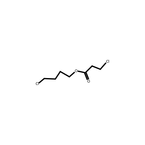 O=C(CCCl)OCCCCCl